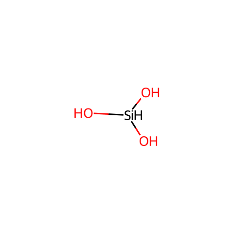 O[SiH](O)O